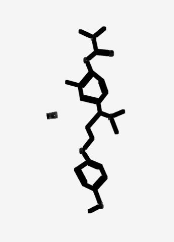 CSc1ccc(OCCC(c2ccc(OC(=O)N(C)C)c(C)c2)N(C)C)cc1.Cl